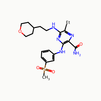 CCc1nc(C(N)=O)c(Nc2cccc(S(C)(=O)=O)c2)nc1NCCC1CCOCC1